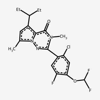 CCC(CC)c1cc(C)n2nc(-c3cc(F)c(OC(F)F)cc3Cl)n(C)c(=O)c12